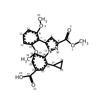 COC(=O)c1cc(-c2c(OC)cccc2OC)n(-c2ccc(C(=O)O)cc2C2CC2)n1